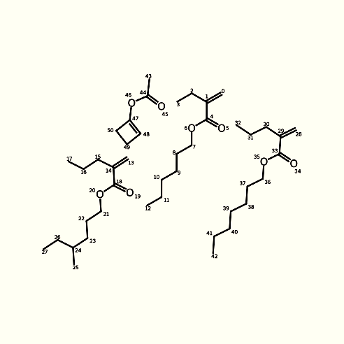 C=C(CC)C(=O)OCCCCCC.C=C(CCC)C(=O)OCCCC(C)CC.C=C(CCC)C(=O)OCCCCCCC.CC(=O)OC1=CCC1